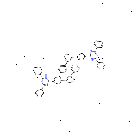 c1ccc(C2=NC(c3ccc(-c4cccc(-c5ccccc5-c5ccccc5-c5cccc(-c6ccc(-c7nc(-c8ccccc8)nc(-c8ccccc8)n7)cc6)c5)c4)cc3)NC(c3ccccc3)=N2)cc1